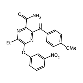 CCc1nc(C(N)=O)c(Nc2ccc(OC)cc2)nc1Oc1cccc([N+](=O)[O-])c1